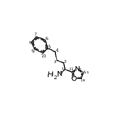 NC(CCCc1ccccc1)c1ncco1